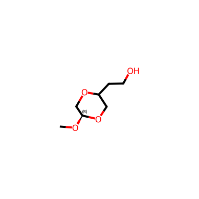 CO[C@H]1COC(CCO)CO1